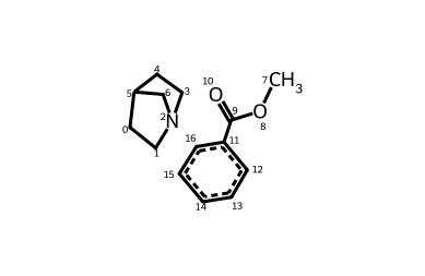 C1CN2CCC1C2.COC(=O)c1ccccc1